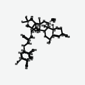 CC1(C)OC2CC3C4CC(F)C5=CC(=O)C=CC5(C)C4(F)[C@@H](O)CC3(C)C2(C(=O)COC(=O)OCn2cc(F)c(=O)[nH]c2=O)O1